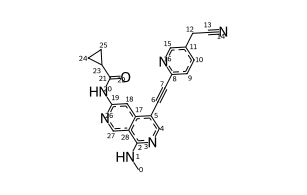 CNc1ncc(C#Cc2ccc(CC#N)cn2)c2cc(NC(=O)C3CC3)ncc12